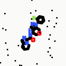 O=C(NC1COCc2c1cnn2-c1ccccc1F)c1ncc2n1CCCC2